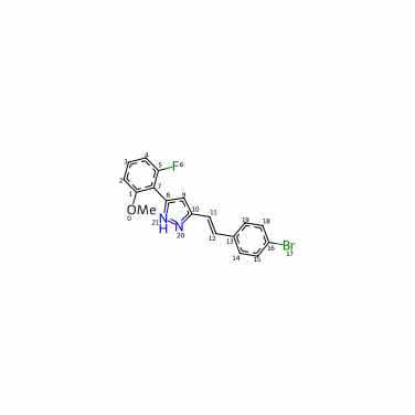 COc1cccc(F)c1-c1cc(C=Cc2ccc(Br)cc2)n[nH]1